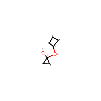 [O]C1(OC2CCC2)CC1